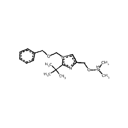 C[SiH](C)OCc1cn(COCc2ccccc2)c(C(C)(C)C)n1